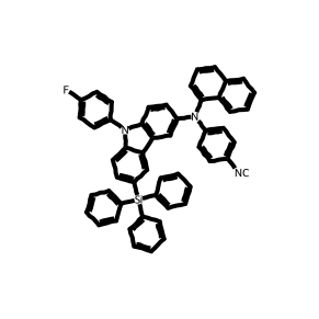 [C-]#[N+]c1ccc(N(c2ccc3c(c2)c2cc([Si](c4ccccc4)(c4ccccc4)c4ccccc4)ccc2n3-c2ccc(F)cc2)c2cccc3ccccc23)cc1